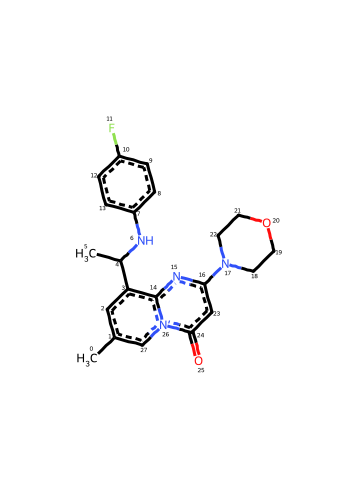 Cc1cc(C(C)Nc2ccc(F)cc2)c2nc(N3CCOCC3)cc(=O)n2c1